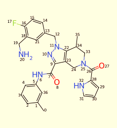 Cc1cccc(NC(=O)c2nn(Cc3ccc(F)c(CN)c3)c3c2CN(C(=O)c2ccc[nH]2)CC3C)c1